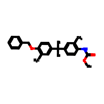 CCC(CC)(c1ccc(NC(=O)OC(C)(C)C)c(C)c1)c1ccc(OCc2ccccc2)c(C)c1